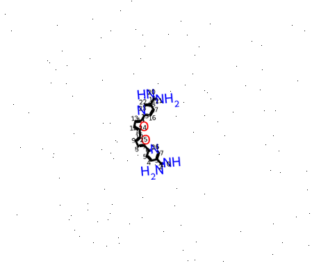 N=C(N)c1ccc(-c2ccc(-c3ccc(-c4ccc(C(=N)N)cn4)o3)o2)nc1